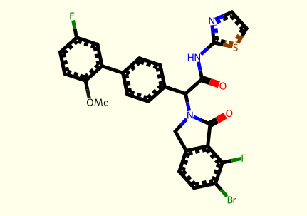 COc1ccc(F)cc1-c1ccc(C(C(=O)Nc2nccs2)N2Cc3ccc(Br)c(F)c3C2=O)cc1